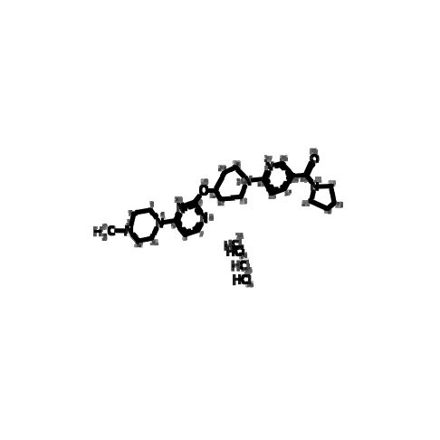 CN1CCN(c2ccnc(OC3CCN(c4ccc(C(=O)N5CCCC5)cn4)CC3)n2)CC1.Cl.Cl.Cl.Cl